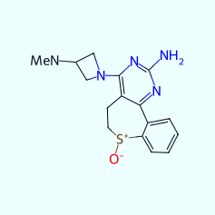 CNC1CN(c2nc(N)nc3c2CC[S+]([O-])c2ccccc2-3)C1